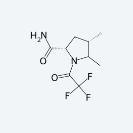 CC1[C@@H](C)C[C@@H](C(N)=O)N1C(=O)C(F)(F)F